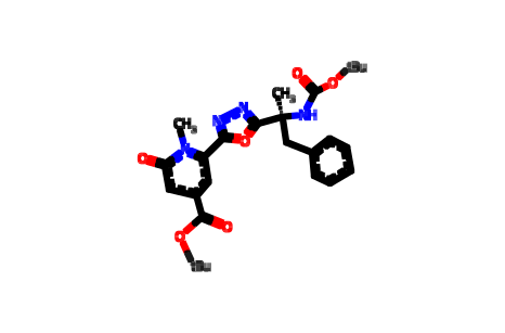 Cn1c(-c2nnc([C@](C)(Cc3ccccc3)NC(=O)OC(C)(C)C)o2)cc(C(=O)OC(C)(C)C)cc1=O